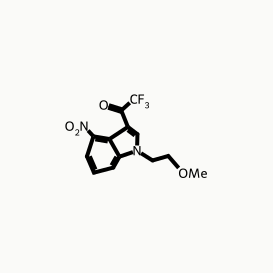 COCCn1cc(C(=O)C(F)(F)F)c2c([N+](=O)[O-])cccc21